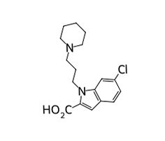 O=C(O)c1cc2ccc(Cl)cc2n1CCCN1CCCCC1